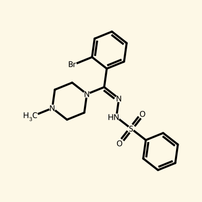 CN1CCN(/C(=N\NS(=O)(=O)c2ccccc2)c2ccccc2Br)CC1